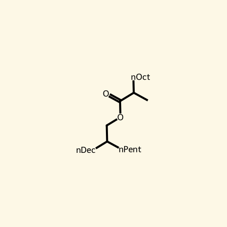 CCCCCCCCCCC(CCCCC)COC(=O)C(C)CCCCCCCC